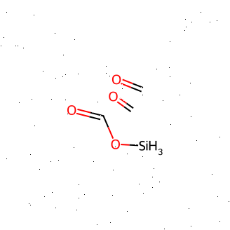 C=O.C=O.O=CO[SiH3]